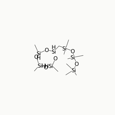 C[SiH]1O[SiH](C)O[SiH](C[Si](C)(C)O[Si](C)(C)O[Si](C)(C)C)O[SiH](C)O1